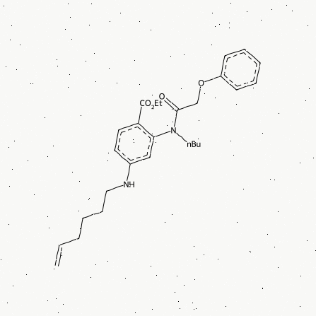 C=CCCCCNc1ccc(C(=O)OCC)c(N(CCCC)C(=O)COc2ccccc2)c1